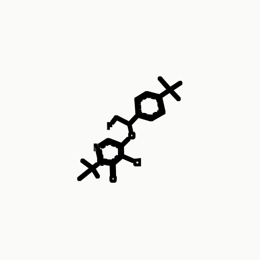 CC(C)(C)c1ccc(C(CF)Oc2cnn(C(C)(C)C)c(=O)c2Cl)cc1